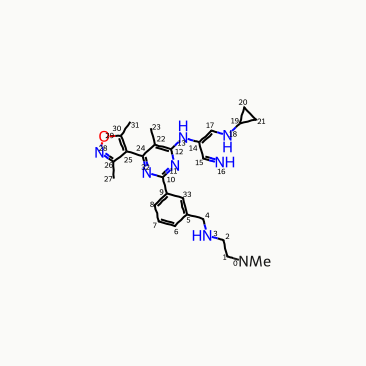 CNCCNCc1cccc(-c2nc(N/C(C=N)=C/NC3CC3)c(C)c(-c3c(C)noc3C)n2)c1